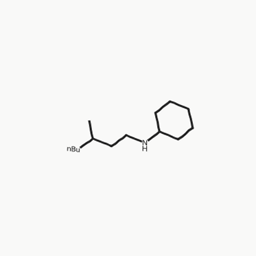 CCCCC(C)CCNC1CCCCC1